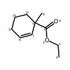 CCOC(=O)C1(C)C=CCCC1